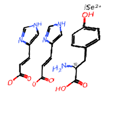 N[C@@H](Cc1ccc(O)cc1)C(=O)O.O=C([O-])C=Cc1c[nH]cn1.O=C([O-])C=Cc1c[nH]cn1.[Se+2]